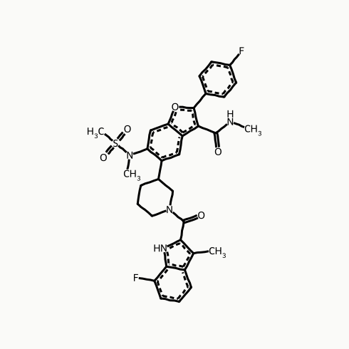 CNC(=O)c1c(-c2ccc(F)cc2)oc2cc(N(C)S(C)(=O)=O)c(C3CCCN(C(=O)c4[nH]c5c(F)cccc5c4C)C3)cc12